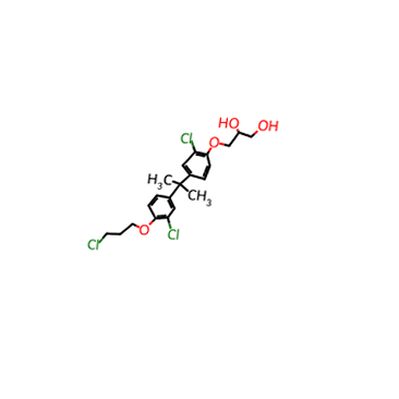 CC(C)(c1ccc(OCCCCl)c(Cl)c1)c1ccc(OCC(O)CO)c(Cl)c1